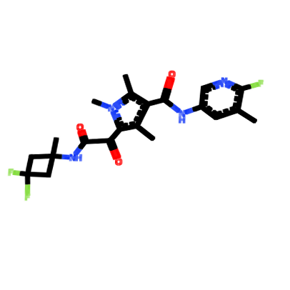 Cc1cc(NC(=O)c2c(C)c(C(=O)C(=O)NC3(C)CC(F)(F)C3)n(C)c2C)cnc1F